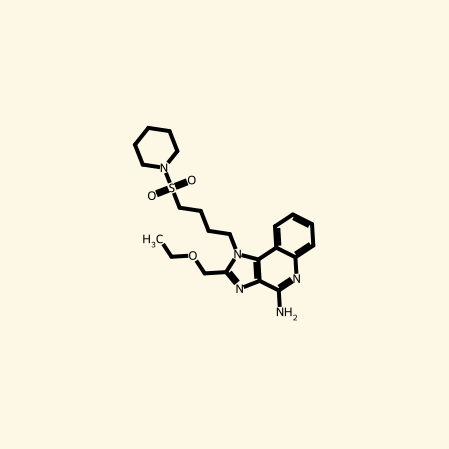 CCOCc1nc2c(N)nc3ccccc3c2n1CCCCS(=O)(=O)N1CCCCC1